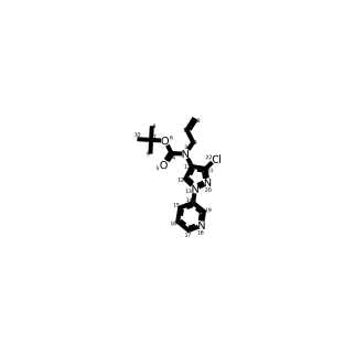 C=CCN(C(=O)OC(C)(C)C)c1cn(-c2cccnc2)nc1Cl